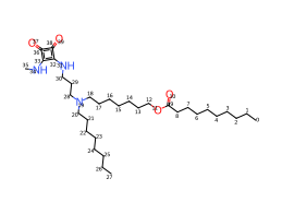 CCCCCCCCCC(=O)OCCCCCCCN(CCCCCCCC)CCCNc1c(NC)c(=O)c1=O